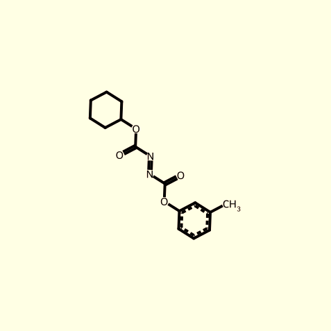 Cc1cccc(OC(=O)N=NC(=O)OC2CCCCC2)c1